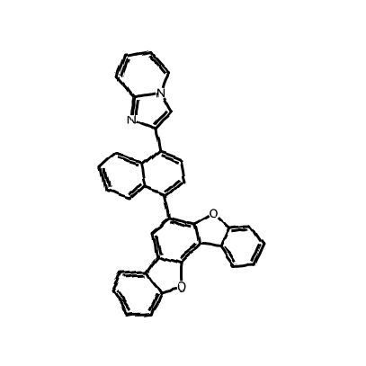 c1ccc2c(c1)oc1c2cc(-c2ccc(-c3cn4ccccc4n3)c3ccccc23)c2oc3ccccc3c21